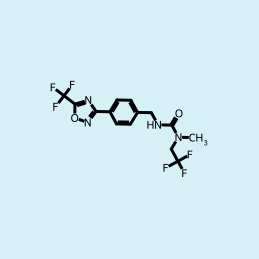 CN(CC(F)(F)F)C(=O)NCc1ccc(-c2noc(C(F)(F)F)n2)cc1